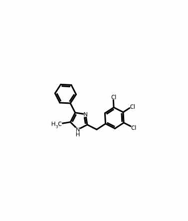 Cc1[nH]c(Cc2cc(Cl)c(Cl)c(Cl)c2)nc1-c1ccccc1